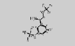 Cl.NC(COC(F)(F)F)c1cccc(OC(F)(F)F)c1